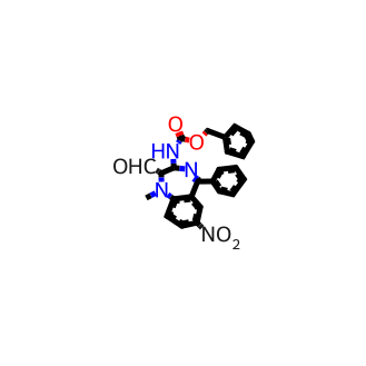 CN1c2ccc([N+](=O)[O-])cc2C(c2ccccc2)=NC(NC(=O)OCc2ccccc2)C1C=O